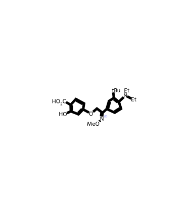 CCN(CC)c1ccc(/C(COc2ccc(C(=O)O)c(O)c2)=N/OC)cc1C(C)(C)C